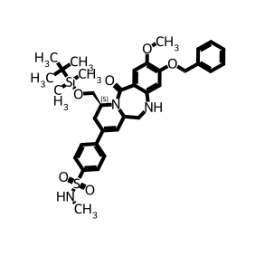 CNS(=O)(=O)c1ccc(C2=CC3CNc4cc(OCc5ccccc5)c(OC)cc4C(=O)N3[C@H](CO[Si](C)(C)C(C)(C)C)C2)cc1